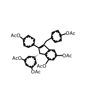 CC(=O)Oc1ccc(CC2=C(c3ccc(OC(C)=O)cc3)[C@@H](c3cc(OC(C)=O)cc(OC(C)=O)c3)c3c(OC(C)=O)cc(OC(C)=O)cc32)cc1